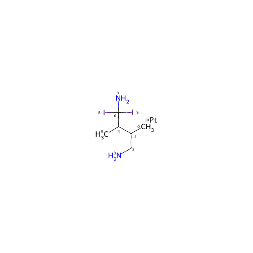 CC(CN)C(C)C(N)(I)I.[Pt]